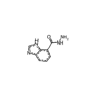 NNC(=O)c1cccc2nc[nH]c12